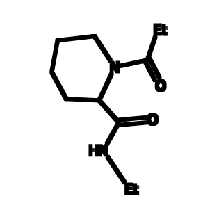 CCNC(=O)C1CCCCN1C(=O)CC